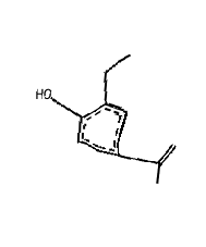 C=C(C)c1ccc(O)c(CC)c1